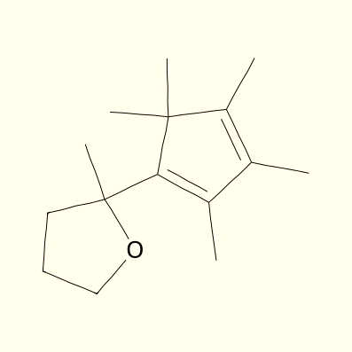 CC1=C(C)C(C)(C)C(C2(C)CCCO2)=C1C